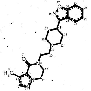 Cc1cnn2c1C(=O)N(CCN1CCC(c3noc4ccccc34)CC1)CC2